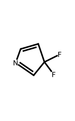 FC1(F)C=CN=C1